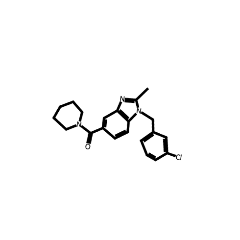 Cc1nc2cc(C(=O)N3CCCCC3)ccc2n1Cc1cccc(Cl)c1